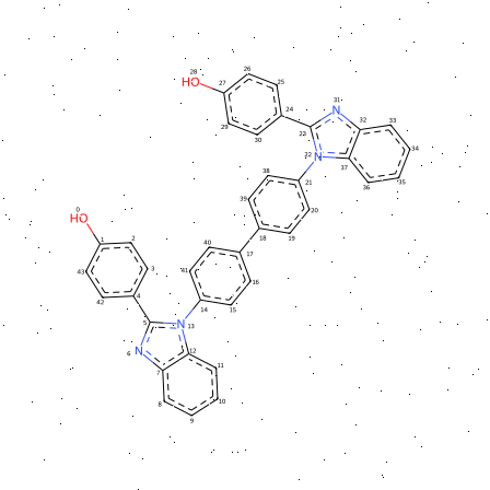 Oc1ccc(-c2nc3ccccc3n2-c2ccc(-c3ccc(-n4c(-c5ccc(O)cc5)nc5ccccc54)cc3)cc2)cc1